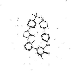 Cc1c(-c2cn(C)c(=O)c(Nc3ccc(N4CCN(C)CC4)cc3)n2)cccc1N1CCN(c2ccc(C(C)(C)C)cc2)C1=O